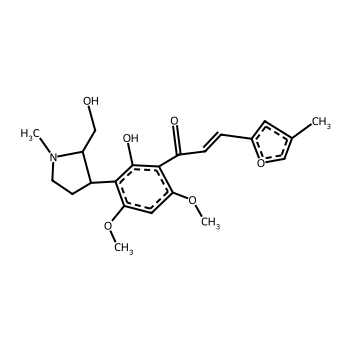 COc1cc(OC)c(C2CCN(C)C2CO)c(O)c1C(=O)C=Cc1cc(C)co1